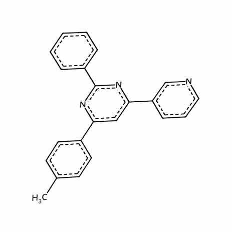 Cc1ccc(-c2cc(-c3cccnc3)nc(-c3ccccc3)n2)cc1